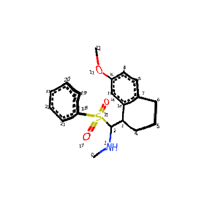 CNC(C1CCCc2ccc(OC)cc21)S(=O)(=O)c1ccccc1